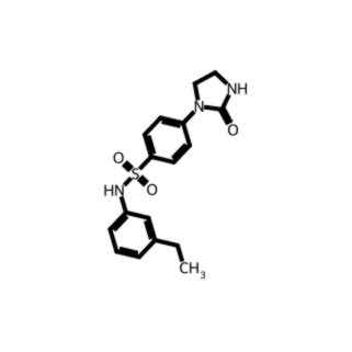 CCc1cccc(NS(=O)(=O)c2ccc(N3CCNC3=O)cc2)c1